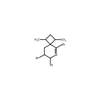 CC(C)C1=NC(C(C)C)C(C(C)C)CC12C(C)CC2C